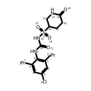 CC(C)c1cc(Cl)cc(C(C)C)c1NC(=O)NS(=O)(=O)C1CCC(=O)NC1